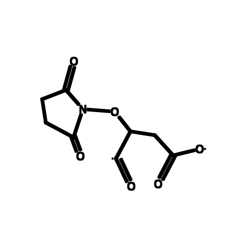 [O]C(=O)CC([C]=O)ON1C(=O)CCC1=O